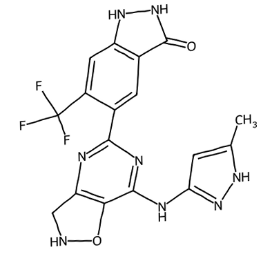 Cc1cc(Nc2nc(-c3cc4c(=O)[nH][nH]c4cc3C(F)(F)F)nc3c2ONC3)n[nH]1